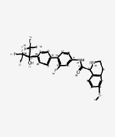 CSc1ccc2c(c1)CCNC2C(=O)Nc1ccc(-c2ccc(C(O)(C(F)(F)F)C(F)(F)F)cc2)c(F)c1